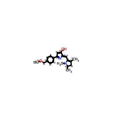 CC1=C(/C=C2\N=C(c3ccc(COC(C)(C)C)cc3)C=C2O)N(C)C(C)C1